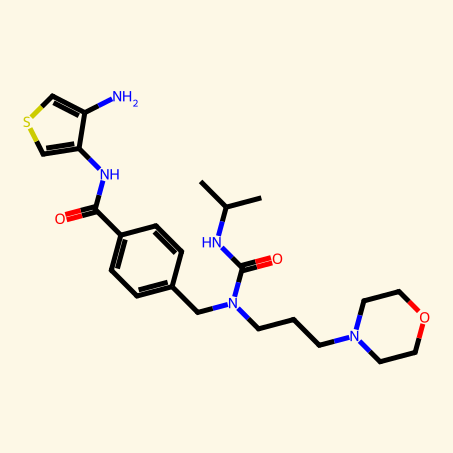 CC(C)NC(=O)N(CCCN1CCOCC1)Cc1ccc(C(=O)Nc2cscc2N)cc1